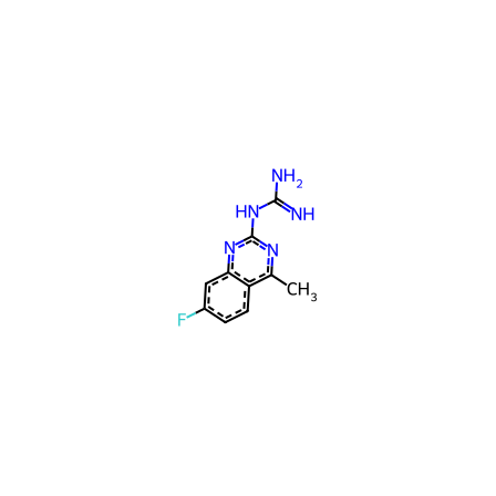 Cc1nc(NC(=N)N)nc2cc(F)ccc12